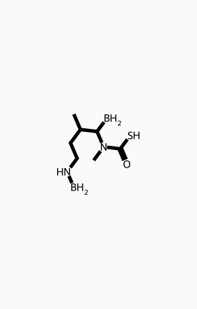 BNCCC(C)C(B)N(C)C(=O)S